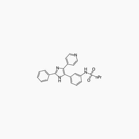 CCCS(=O)(=O)Nc1cccc(-c2[nH]c(-c3ccccc3)nc2-c2ccncc2)c1